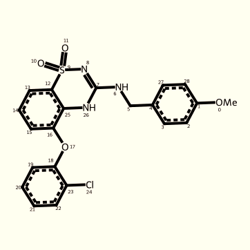 COc1ccc(CNC2=NS(=O)(=O)c3cccc(Oc4ccccc4Cl)c3N2)cc1